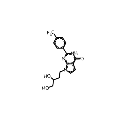 O=c1[nH]c(-c2ccc(C(F)(F)F)cc2)nc2c1ccn2CCC(O)CO